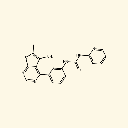 Cc1sc2ncnc(-c3cccc(NC(=O)Nc4ccccn4)c3)c2c1N